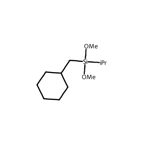 CO[Si]([CH]C1CCCCC1)(OC)C(C)C